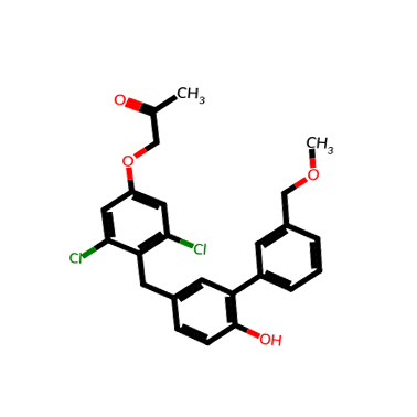 COCc1cccc(-c2cc(Cc3c(Cl)cc(OCC(C)=O)cc3Cl)ccc2O)c1